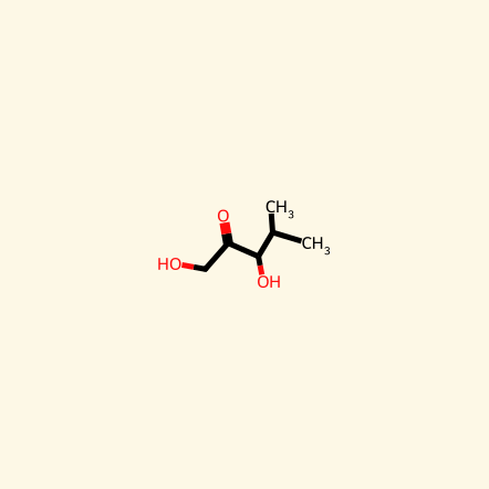 CC(C)C(O)C(=O)CO